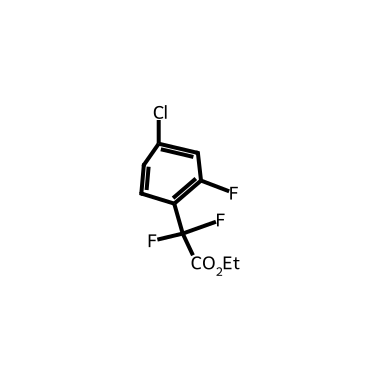 CCOC(=O)C(F)(F)c1ccc(Cl)cc1F